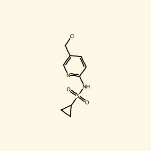 O=S(=O)(Nc1ccc(CCl)cn1)C1CC1